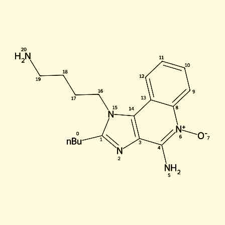 CCCCc1nc2c(N)[n+]([O-])c3ccccc3c2n1CCCCN